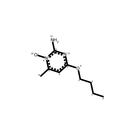 CCCCOc1cc(C)[n+]([O-])c(N)n1